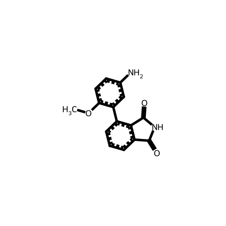 COc1ccc(N)cc1-c1cccc2c1C(=O)NC2=O